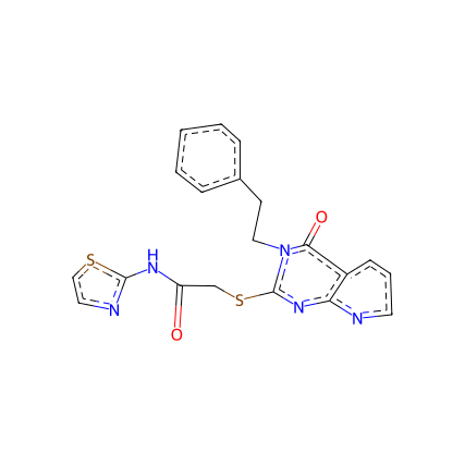 O=C(CSc1nc2ncccc2c(=O)n1CCc1ccccc1)Nc1nccs1